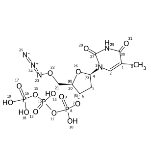 Cc1cn([C@H]2C[C@H](OP(=O)(O)OP(=O)(O)OP(=O)(O)O)[C@@H](CON=[N+]=[N-])O2)c(=O)[nH]c1=O